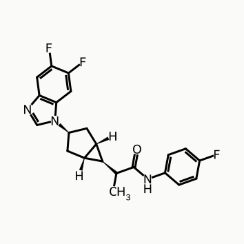 CC(C(=O)Nc1ccc(F)cc1)[C@H]1[C@@H]2C[C@@H](n3cnc4cc(F)c(F)cc43)C[C@@H]21